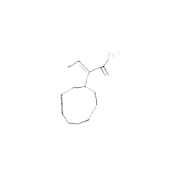 C/C=C(/C(N)=O)C1CCCCCCC1